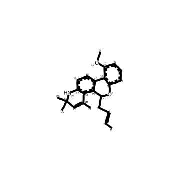 C/C=C/CC1Oc2cccc(OC)c2-c2ccc3c(c21)C(C)=CC(C)(C)N3